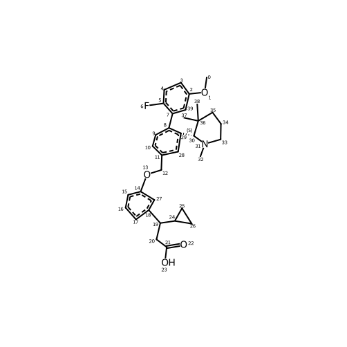 COc1ccc(F)c(-c2ccc(COc3cccc(C(CC(=O)O)C4CC4)c3)cc2[C@H]2N(C)CCCC2(C)C)c1